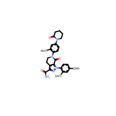 COc1ccc(-n2nc(C(N)=O)c3c2C(=O)N(c2ccc(N4CCCCC4=O)cc2OC)CC3)c(OC)c1